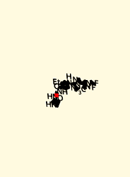 CCc1cc(Nc2nccn3c(-c4cn(CC(F)F)nc4C(F)(F)F)cnc23)ccc1C(=O)NCC(=O)N[C@H]1CCNC1